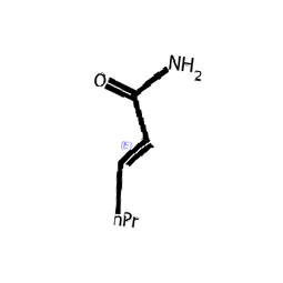 CCC/C=C/C(N)=O